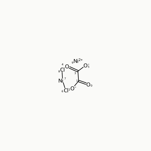 O=C([O-])C(=O)[O-].[Cl][Ni][Cl].[Ni+2]